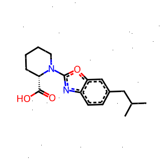 CC(C)Cc1ccc2nc(N3CCCC[C@H]3C(=O)O)oc2c1